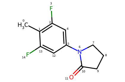 Cc1c(F)cc(N2CCCC2=O)cc1F